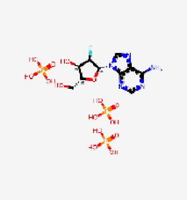 Nc1ncnc2c1ncn2[C@@H]1O[C@H](CO)[C@@H](O)C1F.O=P(O)(O)O.O=P(O)(O)O.O=P(O)(O)O